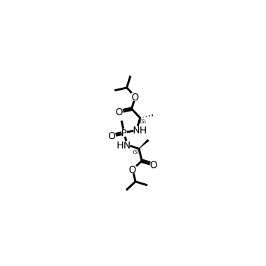 CC(C)OC(=O)[C@H](C)NP(C)(=O)N[C@@H](C)C(=O)OC(C)C